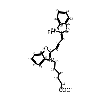 CCN1C(=CC=Cc2oc3ccccc3[n+]2CCCCCC(=O)[O-])Oc2ccccc21